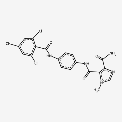 Cn1cnc(C(N)=O)c1C(=O)Nc1ccc(NC(=O)c2c(Cl)cc(Cl)cc2Cl)cc1